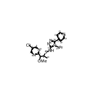 COC(c1ncc(Cl)cn1)C(C)SNc1nnc(-c2ccncc2)n1C(C)C